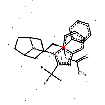 CC(=O)N[C@@H](CCN1C2CCC1CC(n1c(C(F)(F)F)nc3ccccc31)C2)c1ccccc1